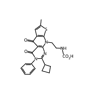 Cc1cc2c(=O)c3c(=O)n(-c4ccccc4)c(C4CCC4)nc3n(CCNC(=O)O)c2s1